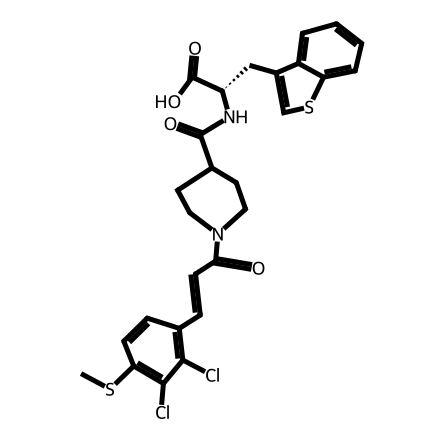 CSc1ccc(/C=C/C(=O)N2CCC(C(=O)N[C@@H](Cc3csc4ccccc34)C(=O)O)CC2)c(Cl)c1Cl